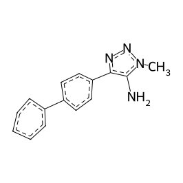 Cn1nnc(-c2ccc(-c3ccccc3)cc2)c1N